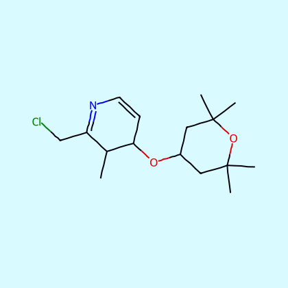 CC1C(CCl)=NC=CC1OC1CC(C)(C)OC(C)(C)C1